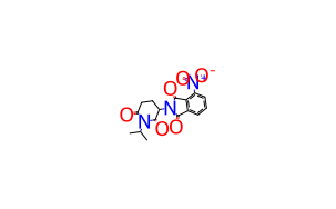 CC(C)N1C(=O)CCC(N2C(=O)c3cccc([N+](=O)[O-])c3C2=O)C1=O